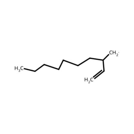 [CH2]C(C=C)CCCCCCC